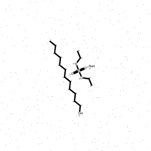 CCCCCCCCCCCCO.CCOS(=O)(=O)OCC.[NaH]